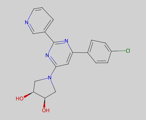 O[C@@H]1CN(c2cc(-c3ccc(Cl)cc3)nc(-c3cccnc3)n2)C[C@@H]1O